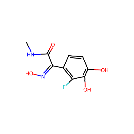 CNC(=O)C(=NO)c1ccc(O)c(O)c1F